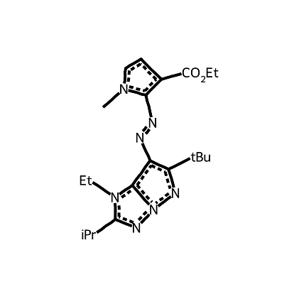 CCOC(=O)c1ccn(C)c1/N=N/c1c(C(C)(C)C)nn2nc(C(C)C)n(CC)c12